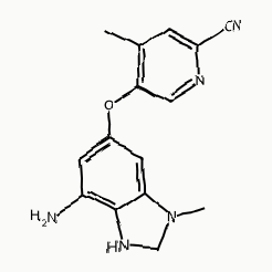 Cc1cc(C#N)ncc1Oc1cc(N)c2c(c1)N(C)CN2